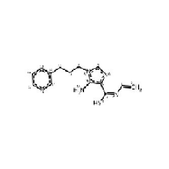 C=C/N=C(/S)c1ncn(CCCc2ccccc2)c1N